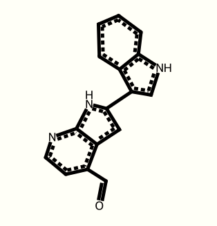 O=Cc1ccnc2[nH]c(-c3c[nH]c4ccccc34)cc12